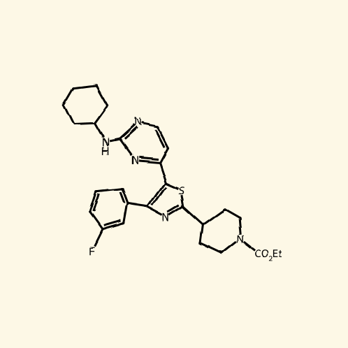 CCOC(=O)N1CCC(c2nc(-c3cccc(F)c3)c(-c3ccnc(NC4CCCCC4)n3)s2)CC1